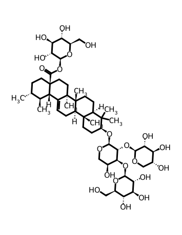 C[C@H]1[C@H](C)CC[C@]2(C(=O)O[C@@H]3O[C@H](CO)[C@@H](O)[C@H](O)[C@H]3O)CC[C@]3(C)C(=CC[C@@H]4[C@@]5(C)CC[C@H](O[C@@H]6OC[C@H](O)[C@H](O[C@@H]7O[C@H](CO)[C@@H](O)[C@H](O)[C@H]7O)[C@H]6O[C@@H]6OC[C@@H](O)[C@H](O)[C@H]6O)C(C)(C)[C@@H]5CC[C@]43C)[C@H]12